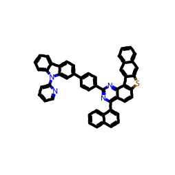 c1ccc(-n2c3ccccc3c3ccc(-c4ccc(-c5nc(-c6cccc7ccccc67)c6ccc7sc8cc9ccccc9cc8c7c6n5)cc4)cc32)nc1